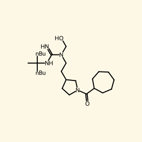 CCCCC(C)(CCCC)NC(=N)N(CO)CCC1CCN(C(=O)C2CCCCCC2)C1